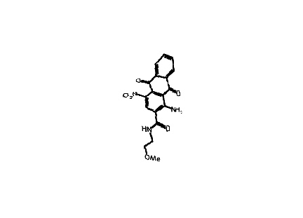 COCCNC(=O)c1cc([N+](=O)[O-])c2c(c1N)C(=O)c1ccccc1C2=O